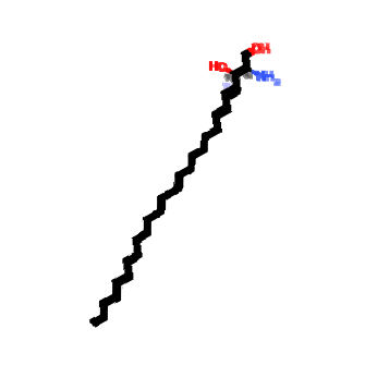 CCCCCCCCCCCCCCCCCCCCCC/C=C/[C@@H](O)[C@@H](N)CO